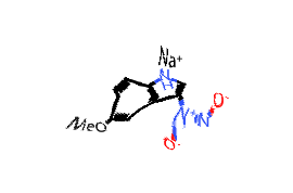 COc1ccc2[nH]cc(/[N+]([O-])=N\[O-])c2c1.[Na+]